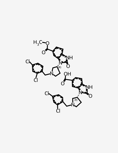 COC(=O)c1ccc2[nH]c(=O)n([C@@H]3CCN(Cc4ccc(Cl)cc4Cl)C3)c2c1.O=C(O)c1ccc2[nH]c(=O)n([C@@H]3CCN(Cc4ccc(Cl)cc4Cl)C3)c2c1